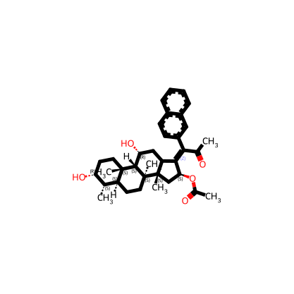 CC(=O)O[C@H]1C[C@@]2(C)C(C[C@@H](O)[C@H]3[C@@]4(C)CC[C@@H](O)[C@@H](C)[C@@H]4CC[C@@]32C)/C1=C(/C(C)=O)c1ccc2ccccc2c1